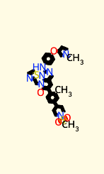 Cc1cc(C2CCN(S(C)(=O)=O)CC2)ccc1-c1cc2cnc(Nc3ccc(OC4CCN(C)C4)cc3)nc2n(Cc2nccs2)c1=O